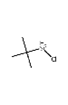 CC(C)(C)[SiH2]Cl